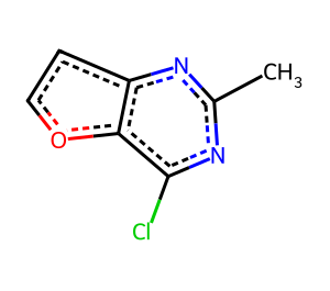 Cc1nc(Cl)c2occc2n1